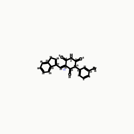 O=C1NC(=O)N(c2cccc(Br)c2)C(=O)/C1=C/C1=CCc2ccccc21